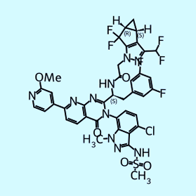 COc1cc(-c2ccc3c(=O)n(-c4ccc(Cl)c5c(NS(C)(=O)=O)nn(C)c45)c([C@H](Cc4cc(F)cc(F)c4)NC(=O)Cn4nc(C(F)F)c5c4C(F)(F)[C@@H]4C[C@H]54)nc3n2)ccn1